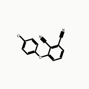 N#Cc1cccc(Oc2ccc(Cl)cc2)c1C#N